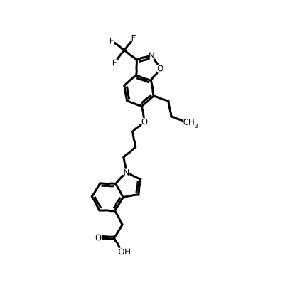 CCCc1c(OCCCn2ccc3c(CC(=O)O)cccc32)ccc2c(C(F)(F)F)noc12